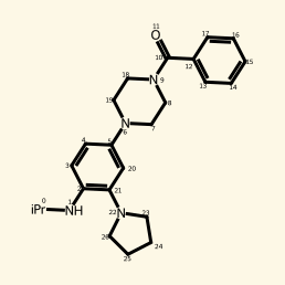 CC(C)Nc1ccc(N2CCN(C(=O)c3ccccc3)CC2)cc1N1CCCC1